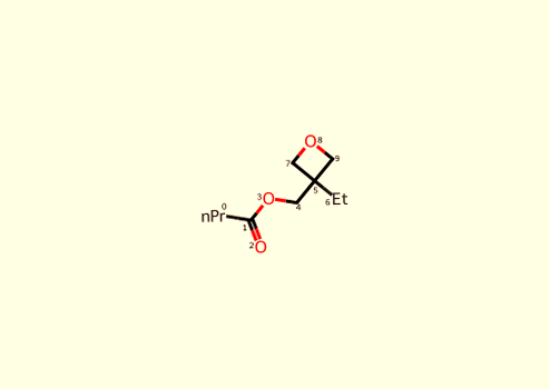 CCCC(=O)OCC1(CC)COC1